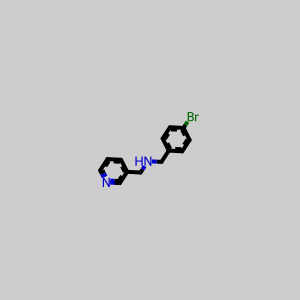 Brc1ccc(CNCc2cccnc2)cc1